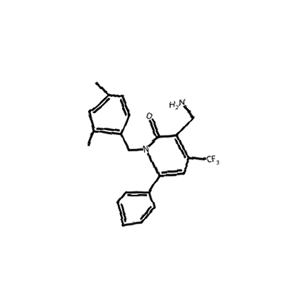 Cc1ccc(Cn2c(-c3ccccc3)cc(C(F)(F)F)c(CN)c2=O)c(C)c1